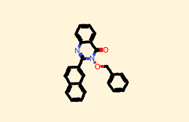 O=c1c2ccccc2nc(-c2ccc3ccccc3c2)n1OCc1ccccc1